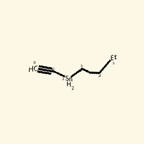 C#[C][SnH2][CH2]CCC